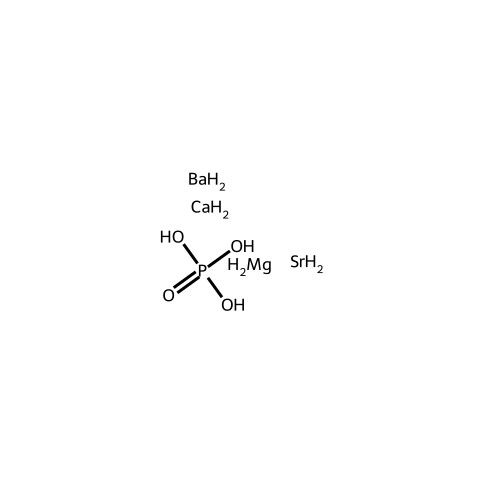 O=P(O)(O)O.[BaH2].[CaH2].[MgH2].[SrH2]